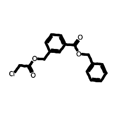 O=C(CCl)OCc1cccc(C(=O)OCc2ccccc2)c1